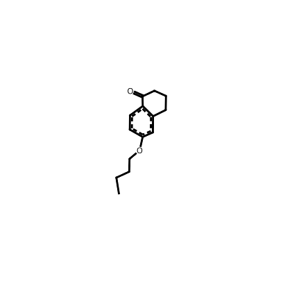 CCCCOc1ccc2c(c1)CCCC2=O